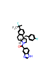 CC(F)(c1ccc2c(c1)CC[C@H]1N(C(=O)c3ccc4[nH]cnc4c3)CC[C@@]21Cc1ccc(F)cc1)C(F)(F)F